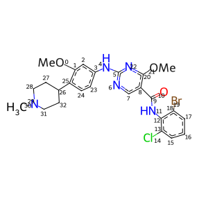 COc1cc(Nc2ncc(C(=O)Nc3c(Cl)cccc3Br)c(OC)n2)ccc1C1CCN(C)CC1